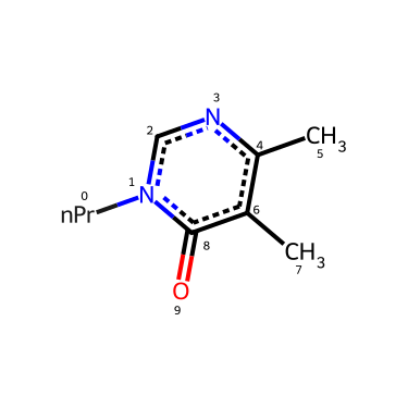 CCCn1cnc(C)c(C)c1=O